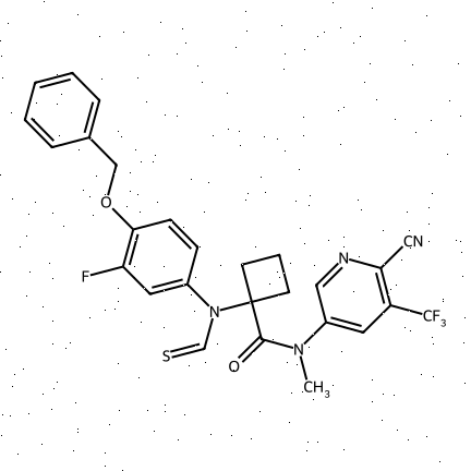 CN(C(=O)C1(N(C=S)c2ccc(OCc3ccccc3)c(F)c2)CCC1)c1cnc(C#N)c(C(F)(F)F)c1